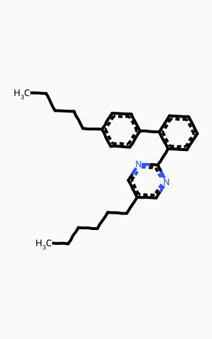 CCCCCCc1cnc(-c2ccccc2-c2ccc(CCCCC)cc2)nc1